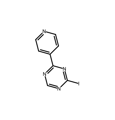 Ic1ncnc(-c2ccncc2)n1